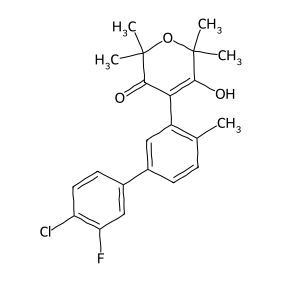 Cc1ccc(-c2ccc(Cl)c(F)c2)cc1C1=C(O)C(C)(C)OC(C)(C)C1=O